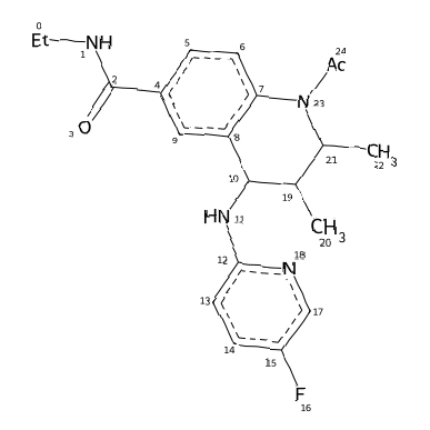 CCNC(=O)c1ccc2c(c1)C(Nc1ccc(F)cn1)C(C)C(C)N2C(C)=O